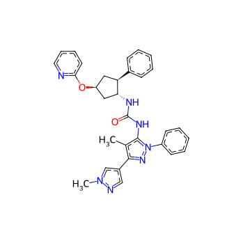 Cc1c(-c2cnn(C)c2)nn(-c2ccccc2)c1NC(=O)N[C@@H]1C[C@@H](Oc2ccccn2)C[C@H]1c1ccccc1